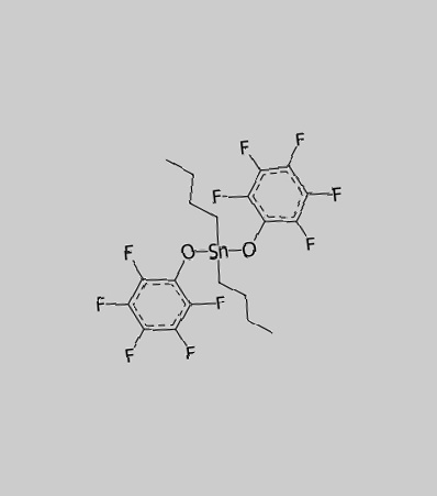 CCC[CH2][Sn]([CH2]CCC)([O]c1c(F)c(F)c(F)c(F)c1F)[O]c1c(F)c(F)c(F)c(F)c1F